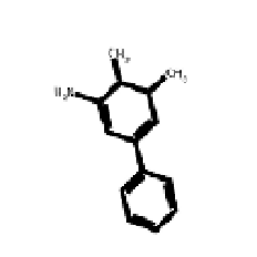 CC1C=C(c2ccccc2)C=C(N)C1C